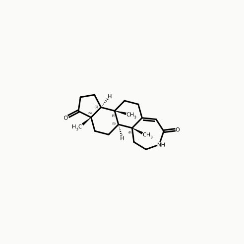 C[C@@]12CCC3=CC(=O)NCC[C@]3(C)[C@H]1CC[C@]1(C)C(=O)CC[C@@H]21